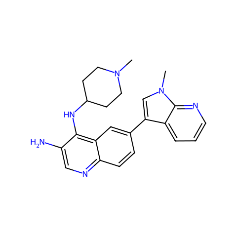 CN1CCC(Nc2c(N)cnc3ccc(-c4cn(C)c5ncccc45)cc23)CC1